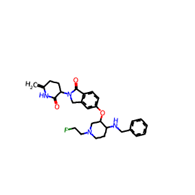 C=C1CCC(N2Cc3cc(OC4CN(CCF)CCC4NCc4ccccc4)ccc3C2=O)C(=O)N1